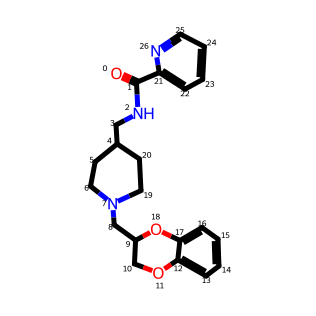 O=C(NCC1CCN(CC2COc3ccccc3O2)CC1)c1ccccn1